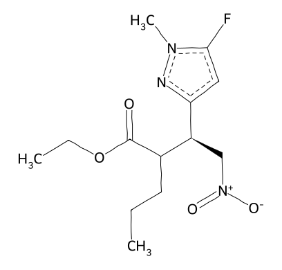 CCCC(C(=O)OCC)[C@H](C[N+](=O)[O-])c1cc(F)n(C)n1